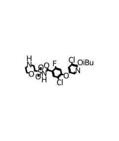 CC(C)COc1ncc(Oc2cc(F)c(C(=O)NS(=O)(=O)C3CNCCO3)cc2Cl)cc1Cl